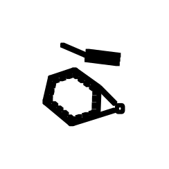 C#CC.c1ccc2c(c1)O2